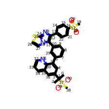 CC(C)(c1cc(-c2cccc(-c3c(-c4ccc(S(C)(=O)=O)cc4)nc4sccn34)c2)c2ncccc2c1)S(C)(=O)=O